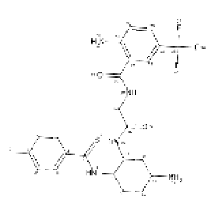 Cc1ccc(C(=S)NC2CCC(N)CC2NC(=O)CNC(=O)c2cc(C(F)(F)F)ccc2N)cc1